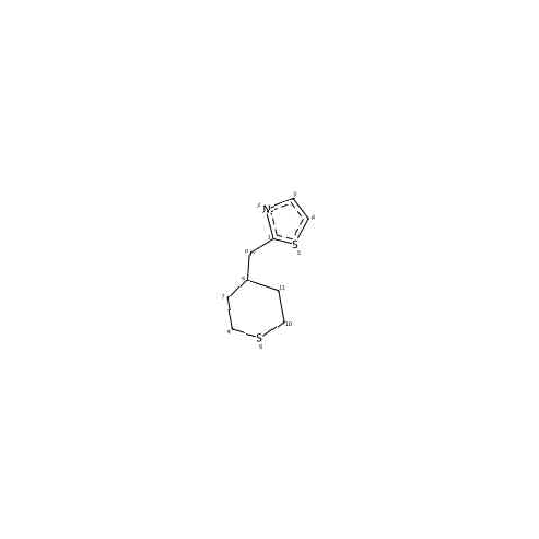 [CH](c1nccs1)C1CCSCC1